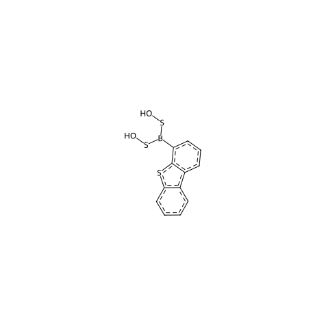 OSB(SO)c1cccc2c1sc1ccccc12